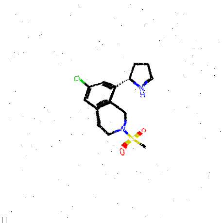 CS(=O)(=O)N1CCc2cc(Cl)cc([C@@H]3CCCN3)c2C1